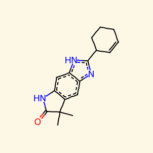 CC1(C)C(=O)Nc2cc3[nH]c(C4C=CCCC4)nc3cc21